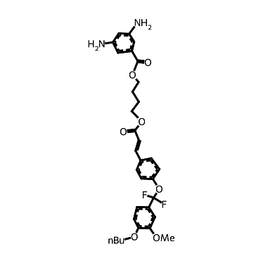 CCCCOc1ccc(C(F)(F)Oc2ccc(/C=C/C(=O)OCCCCOC(=O)c3cc(N)cc(N)c3)cc2)cc1OC